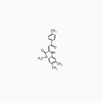 COC(=O)C(=CC(=O)c1ccc(C)cc1)Nc1ccc(C)c(C)c1